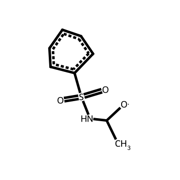 CC([O])NS(=O)(=O)c1ccccc1